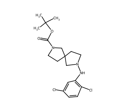 CC(C)(C)OC(=O)N1CCC2(CCN(Nc3cc(Cl)ccc3Cl)C2)C1